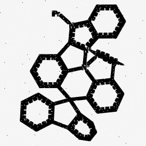 CC(C)n1c2[n+](c3ccccc31)[N+]13c4c(cccc4C4(c5ccccc5-c5ccccc54)c4cccc-2c41)-c1cccc[n+]13